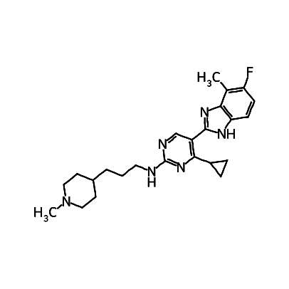 Cc1c(F)ccc2[nH]c(-c3cnc(NCCCC4CCN(C)CC4)nc3C3CC3)nc12